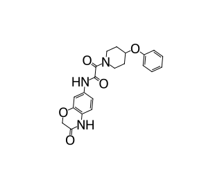 O=C1COc2cc(NC(=O)C(=O)N3CCC(Oc4ccccc4)CC3)ccc2N1